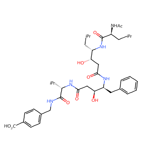 CC(=O)N[C@@H](CC(C)C)C(=O)N[C@@H](CC(C)C)[C@@H](O)CC(=O)N[C@@H](Cc1ccccc1)[C@@H](O)CC(=O)N[C@H](C(=O)NCc1ccc(C(=O)O)cc1)C(C)C